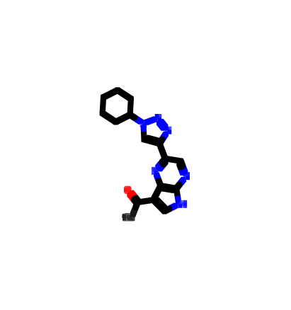 CC(C)(C)C(=O)c1c[nH]c2ncc(-c3cn(C4CCCCC4)nn3)nc12